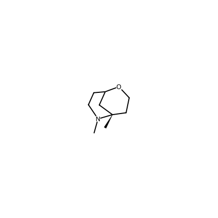 CN1CCC2C[C@]1(C)CCO2